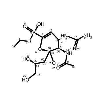 CCOP(=O)(O)C1=C[C@H](NC(=N)N)[C@@H](NC(C)=O)[C@]2(O1)O[C@@H]2[C@H](O)CO